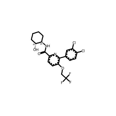 O=C(N[C@@H]1CCCC[C@H]1O)c1ccc(OCC(F)(F)F)c(-c2ccc(Cl)c(Cl)c2)n1